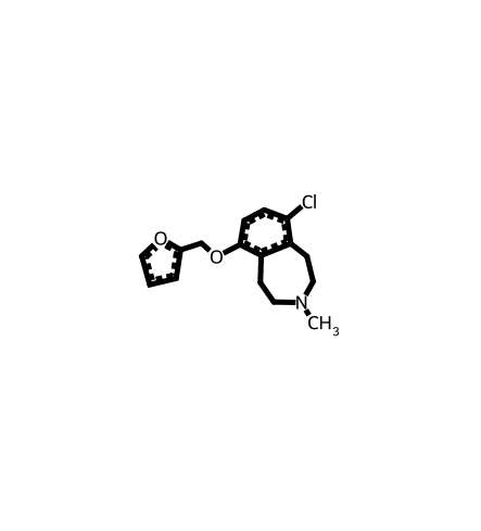 CN1CCc2c(Cl)ccc(OCc3ccco3)c2CC1